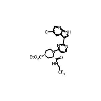 CCOC(=O)N1CCN(c2ccnc(-c3c[nH]c4ncc(Cl)cc34)n2)[C@H](C(=O)NCC(F)(F)F)C1